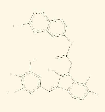 CCC1=C(CC(=O)Nc2ccc3ccc(C)cc3c2)c2c(ccc(F)c2CC)C1=Cc1cc(OC)c(O)c(OC)c1